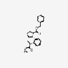 CN(C(=O)OC(C)(C)C)c1ccccc1[C@@H]1CCCN1C(=O)OCc1ccccc1